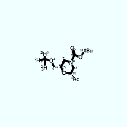 [2H]C([2H])([2H])OC[C@@H]1CN(C(=O)OC(C)(C)C)C[C@H](C(C)=O)O1